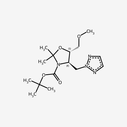 COC[C@H]1OC(C)(C)N(C(=O)OC(C)(C)C)[C@@H]1Cn1nccn1